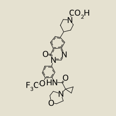 O=C(O)N1CCC(c2ccc3c(=O)n(-c4ccc(OC(F)(F)F)c(NC(=O)C5(N6CCOCC6)CC5)c4)cnc3c2)CC1